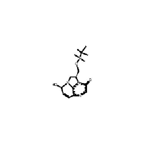 CC(C)(C)[Si](C)(C)OC[C@@H]1CN2c3c(ncc(=O)n31)C=CC2O